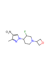 Cc1nn(C2CCN(C3COC3)CC2F)cc1[N+](=O)[O-]